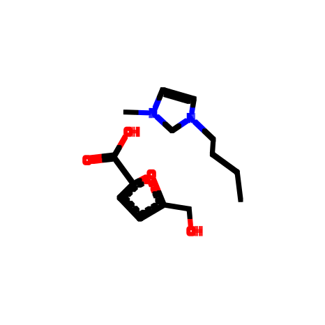 CCCCN1C=CN(C)C1.O=C(O)c1ccc(CO)o1